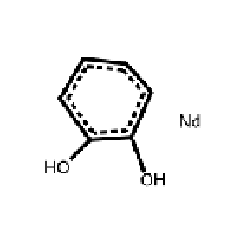 Oc1ccccc1O.[Nd]